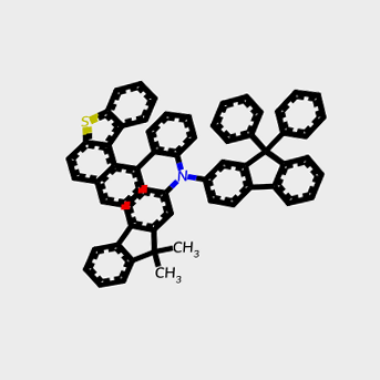 CC1(C)c2ccccc2-c2ccc(N(c3ccc4c(c3)C(c3ccccc3)(c3ccccc3)c3ccccc3-4)c3ccccc3-c3cccc4ccc5sc6ccccc6c5c34)cc21